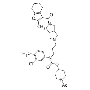 CC(=O)N1CCC(OC(=O)N(CCCN2CC3CN(C(=O)c4c(C)oc5c4CCCC5)CC3C2)c2ccc(C)c(Cl)c2)CC1